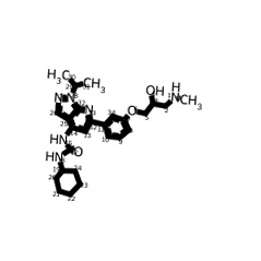 CNCC(O)COc1cccc(-c2cc(NC(=O)NC3CCCCC3)c3cnn(C(C)C)c3n2)c1